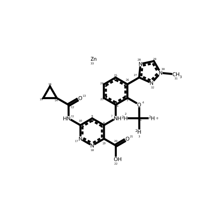 [2H]C([2H])([2H])Oc1c(Nc2cc(NC(=O)C3CC3)nnc2C(=O)O)cccc1-c1ncn(C)n1.[Zn]